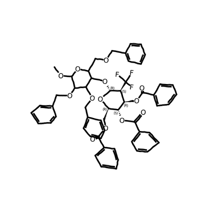 COC1OC(COCc2ccccc2)C(O[C@H]2O[C@H](COC(=O)c3ccccc3)[C@@H](OC(=O)c3ccccc3)[C@H](OC(=O)c3ccccc3)[C@@H]2C(F)(F)F)C(OCc2ccccc2)C1OCc1ccccc1